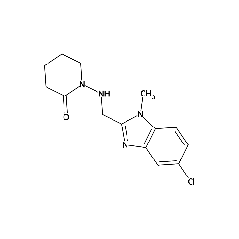 Cn1c(CNN2CCCCC2=O)nc2cc(Cl)ccc21